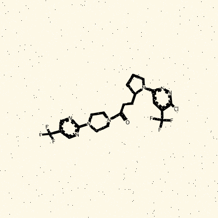 O=C(CCC1CCCN1c1cc(C(F)(F)F)c(Cl)nn1)N1CCN(c2ncc(C(F)(F)F)cn2)CC1